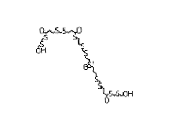 O=C(CCSCSCCC(=O)SCSCO)SCCSCSCC[S+]([O-])CCCSCSCCC(=O)SCSCO